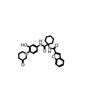 O=C1CCCN(c2ccc(NC(=O)C3(NC(=O)c4cc5ccccc5o4)CCCCC3)cc2O)C1